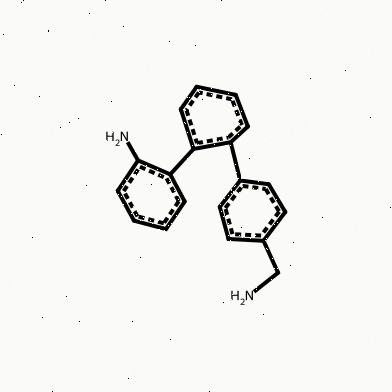 NCc1ccc(-c2ccccc2-c2ccccc2N)cc1